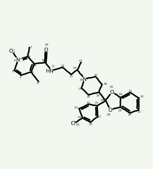 Cc1cc[n+]([O-])c(C)c1C(=O)NCCC(C)N1CCC(C2(c3ccc(Cl)cc3)Oc3ccccc3O2)CC1